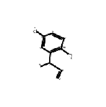 C=C[C](C)c1cc(Cl)ccc1Cl